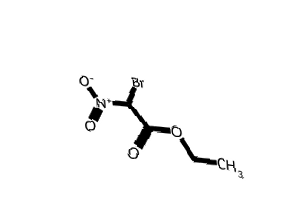 CCOC(=O)C(Br)[N+](=O)[O-]